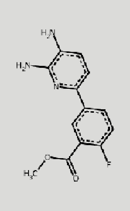 COC(=O)c1cc(-c2ccc(N)c(N)n2)ccc1F